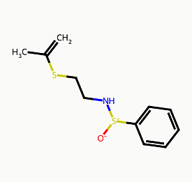 C=C(C)SCCN[S+]([O-])c1ccccc1